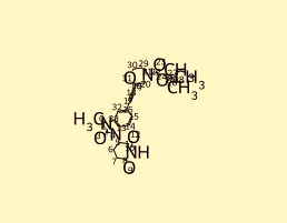 Cn1c(=O)n(C2CCC(=O)NC2=O)c2ccc(C#C[C@@H]3CN(C(=O)OC(C)(C)C)CCO3)cc21